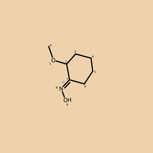 COC1CCCC/C1=N\O